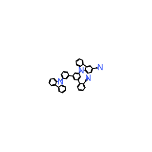 N#Cc1ccc2c(c1)c1ccccc1n2-c1cc(-c2cccc(-n3c4ccccc4c4ccccc43)c2)cc(-c2ccccc2C#N)c1